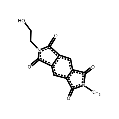 Cn1c(=O)c2cc3c(=O)n(CCO)c(=O)c3cc2c1=O